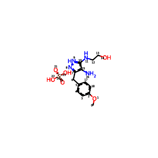 COc1ccc(Cc2n[nH]c(NCCO)c2N)cc1.O=S(=O)(O)O